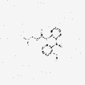 CC(C)COC(=O)Oc1ccccc1C(=O)c1ccccc1[C]=O